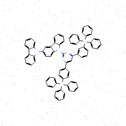 c1ccc([Si](c2ccccc2)(c2ccccc2)c2ccc(-c3cc(-c4cccc([Si](c5ccccc5)(c5ccccc5)c5ccccc5)c4)nc(-n4c5ccccc5c5cc(-n6c7ccccc7c7ccccc76)ccc54)n3)cc2)cc1